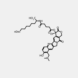 CCCCCCCCCCCCCCCCC(NC(=O)CCCC(=O)O[C@]1(CC)C(=O)OCc2c1cc1n(c2=O)Cc2cc3c(CN(C)C)c(O)ccc3nc2-1)C(=O)O